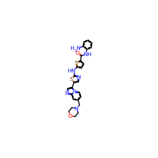 Nc1ccccc1NC(=O)c1ccc(Nc2ncc(-c3cnc4cc(CN5CCOCC5)ccn34)s2)s1